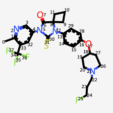 Cc1ncc(N2C(=O)C3(CCC3)N(c3ccc(OC4CCN(CCCF)CC4)cc3)C2=S)cc1C(F)(F)F